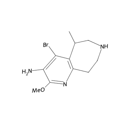 COc1nc2c(c(Br)c1N)C(C)CNCC2